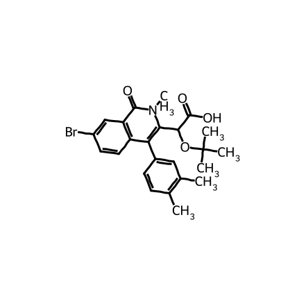 Cc1ccc(-c2c(C(OC(C)(C)C)C(=O)O)n(C)c(=O)c3cc(Br)ccc23)cc1C